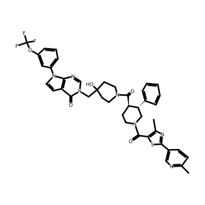 Cc1ccc(-c2nc(C)c(C(=O)N3CC[C@@H](C(=O)N4CCC(O)(Cn5cnc6c(ccn6-c6cccc(OC(F)(F)F)c6)c5=O)CC4)[C@H](c4ccccc4)C3)s2)cn1